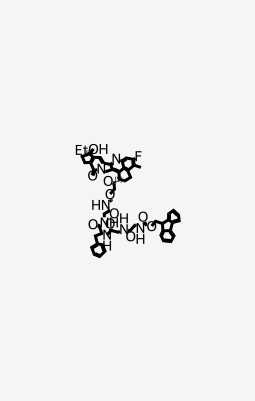 CC[C@@]1(O)CCc2c1cc1n(c2=O)Cc2c-1nc1cc(F)c(C)c3c1c2[C@@H](C(=O)COCNC(=O)CNC(=O)C(Cc1ccccc1)NC(=O)CNC(=O)CNC(=O)OCC1c2ccccc2-c2ccccc21)CC3